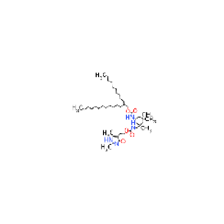 CCCCCCCCCCCCC(CCCCCCCCCC)COC(=O)NC1CC(C)(C)CC(C)(CNC(=O)OCCc2c(C)[nH]c(C)nc2=O)C1